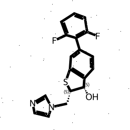 O[C@H]1c2ccc(-c3c(F)cccc3F)cc2S[C@H]1Cn1ccnc1